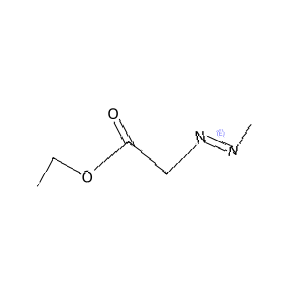 CCOC(=O)C/N=N/C